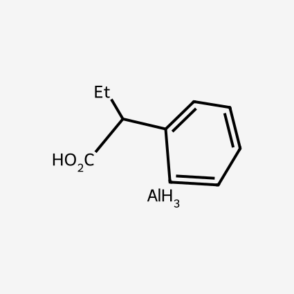 CCC(C(=O)O)c1ccccc1.[AlH3]